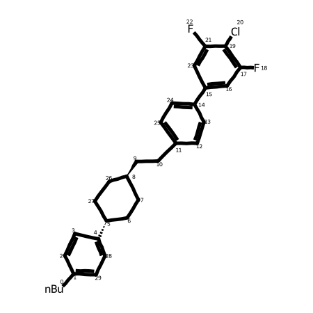 CCCCc1ccc([C@H]2CC[C@H](CCc3ccc(-c4cc(F)c(Cl)c(F)c4)cc3)CC2)cc1